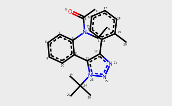 CCN(C(C)=O)c1ccccc1-c1c(-c2ccccc2C)nnn1C(C)(C)C